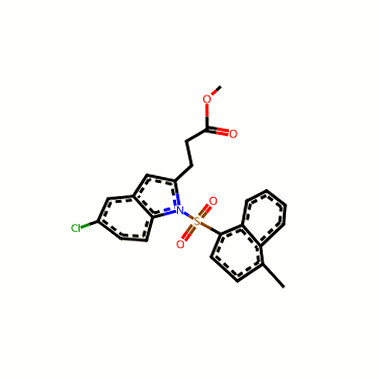 COC(=O)CCc1cc2cc(Cl)ccc2n1S(=O)(=O)c1ccc(C)c2ccccc12